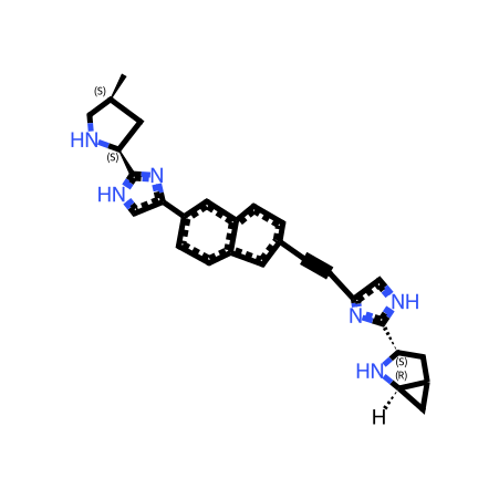 C[C@@H]1CN[C@H](c2nc(-c3ccc4cc(C#Cc5c[nH]c([C@@H]6CC7C[C@H]7N6)n5)ccc4c3)c[nH]2)C1